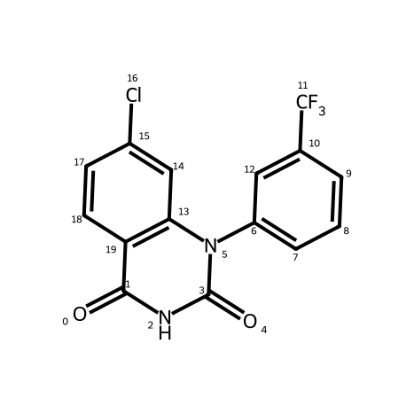 O=c1[nH]c(=O)n(-c2cccc(C(F)(F)F)c2)c2cc(Cl)ccc12